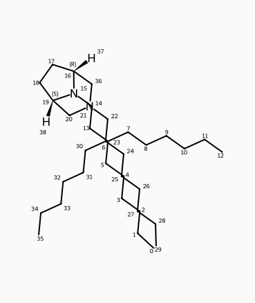 CCCCCCC(CCCCCC)CCN1[C@@H]2CC[C@H]1CN(CC(CCCCCC)CCCCCC)C2